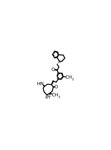 Cc1cc(C/C=C2/CC(=N)CCC[C@](C)(C(C)C)CC2=O)cc(C(=O)CC[C@H]2CCCc3ccccc32)c1